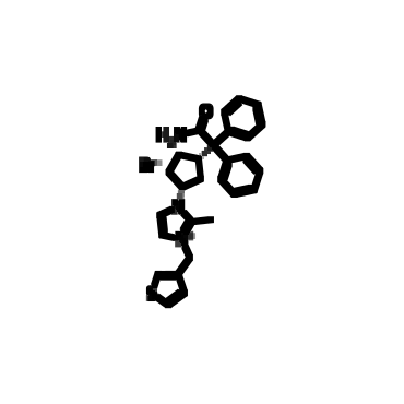 Cc1n([C@@H]2CC[C@H](C(C(N)=O)(c3ccccc3)c3ccccc3)C2)cc[n+]1Cc1ccsc1.[Br-]